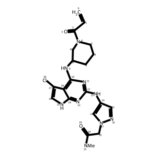 C=CC(=O)N1CCCC(Nc2nc(Nc3cnn(CC(=O)NC)c3)nc3[nH]cc(Cl)c23)C1